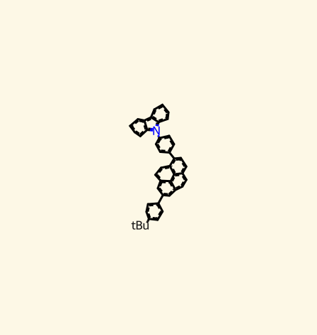 CC(C)(C)c1ccc(-c2cc3ccc4ccc(-c5ccc(-n6c7ccccc7c7ccccc76)cc5)c5ccc(c2)c3c45)cc1